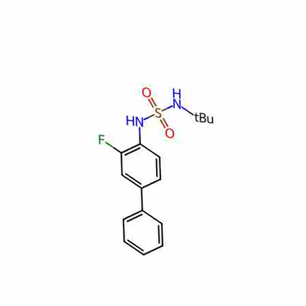 CC(C)(C)NS(=O)(=O)Nc1ccc(-c2ccccc2)cc1F